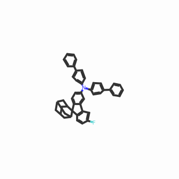 Fc1ccc2c(c1)-c1cc(N(c3ccc(-c4ccccc4)cc3)c3ccc(-c4ccccc4)cc3)ccc1C21C2CC3CC(C2)CC1C3